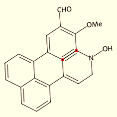 COc1ccc(-c2cccc3cccc(C4=CCN(O)C=C4)c23)cc1C=O